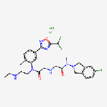 CCNCCN(C(=O)CNCC(=O)N(C)N1Cc2ccc(F)cc2C1)c1cc(-c2noc(C(F)F)n2)ccc1C.Cl.Cl